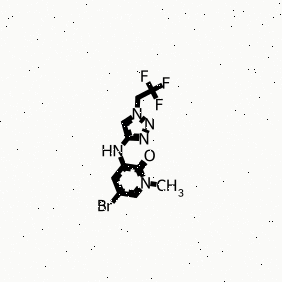 Cn1cc(Br)cc(Nc2cn(CC(F)(F)F)nn2)c1=O